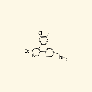 CCC1CC(c2ccc(C)c(Cl)c2)=C(c2ccc(CN)cc2)C=N1